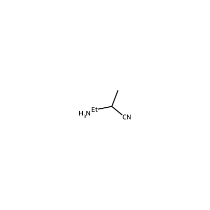 CCC(C)C#N.N